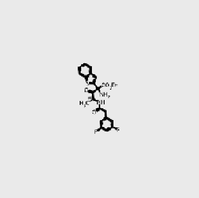 CCOC(=O)C(N)(C(=O)[C@H](C)NC(=O)Cc1cc(F)cc(F)c1)c1cc2ccccc2s1